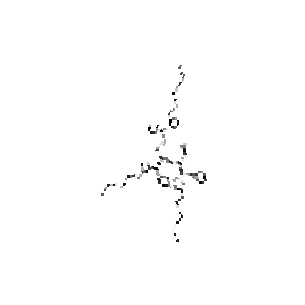 CCCCCOC(=O)c1ccc(C(=O)OCCCCC)c(C(=O)OCCCCC)c1